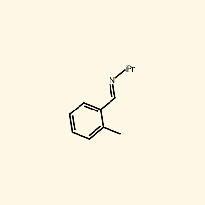 Cc1ccccc1C=NC(C)C